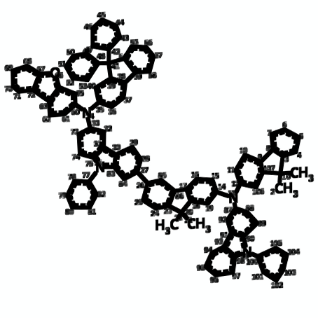 CC1(C)c2ccccc2-c2ccc(N(c3ccc4c(c3)C(C)(C)c3ccc(-c5ccc6c7cc(N(c8ccc9c(c8)C(c8ccccc8)(c8ccccc8)c8ccccc8-9)c8ccc9c(c8)oc8ccccc89)ccc7n(-c7ccccc7)c6c5)cc3-4)c3ccc4c(c3)c3ccccc3n4-c3ccccc3)cc21